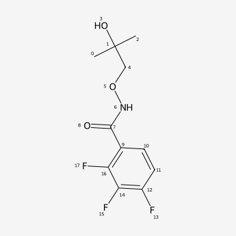 CC(C)(O)CONC(=O)c1ccc(F)c(F)c1F